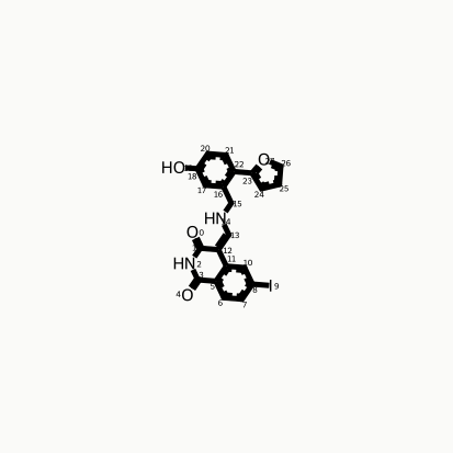 O=C1NC(=O)c2ccc(I)cc2C1=CNCc1cc(O)ccc1-c1ccco1